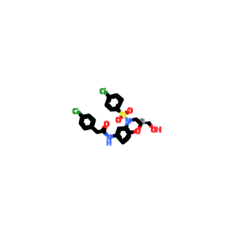 O=C(Cc1ccc(Cl)cc1)Nc1ccc2c(c1)N(S(=O)(=O)c1ccc(Cl)cc1)C[C@H](CO)O2